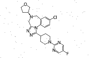 Fc1cnc(N2CCC(c3nnc4n3-c3ccc(Cl)cc3CN([C@H]3CCOC3)C4)CC2)nc1